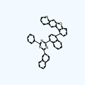 c1ccc(-c2nc(-c3ccc4ccccc4c3)nc(-c3ccc(-c4cccc5oc6cc7ncccc7cc6c45)c4ccccc34)n2)cc1